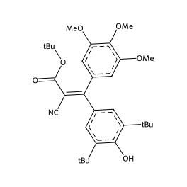 COc1cc(C(=C(C#N)C(=O)OC(C)(C)C)c2cc(C(C)(C)C)c(O)c(C(C)(C)C)c2)cc(OC)c1OC